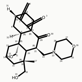 C=C1C(=O)[C@]23CC[C@H]1C[C@@H]2[C@]1(CO)CCC[C@@](C)(CO)C1[C@H](CN1CCOCC1)C3=O